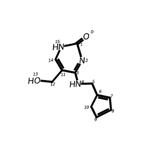 O=c1nc(NCC2=CC=CC2)c(CO)c[nH]1